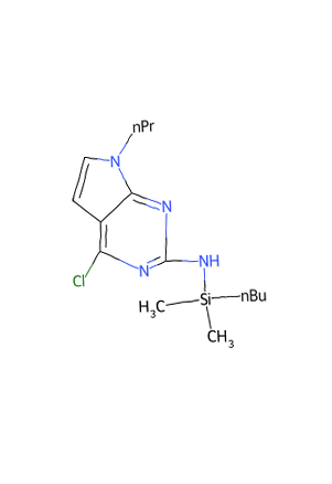 CCCC[Si](C)(C)Nc1nc(Cl)c2ccn(CCC)c2n1